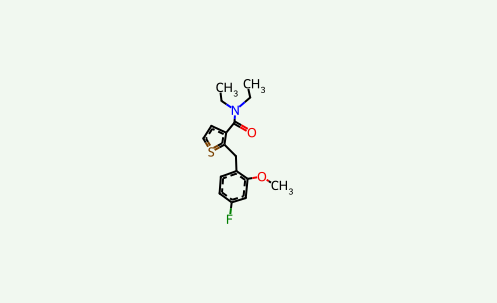 CCN(CC)C(=O)c1ccsc1Cc1ccc(F)cc1OC